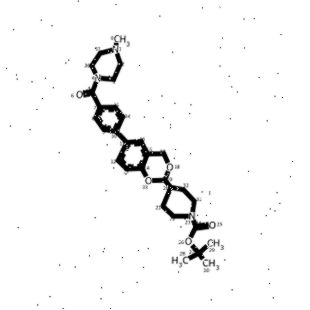 CN1CCN(C(=O)c2ccc(-c3ccc4c(c3)COC(C3CCN(C(=O)OC(C)(C)C)CC3)O4)cc2)CC1